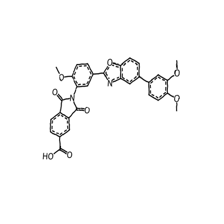 COc1ccc(-c2ccc3oc(-c4ccc(OC)c(N5C(=O)c6ccc(C(=O)O)cc6C5=O)c4)nc3c2)cc1OC